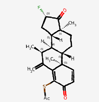 C=C1C2=C(SC(C)=O)C(=O)C=C[C@]2(C)[C@H]2CC[C@]3(C)C(=O)[C@@H](F)C[C@H]3[C@@H]2[C@@H]1C